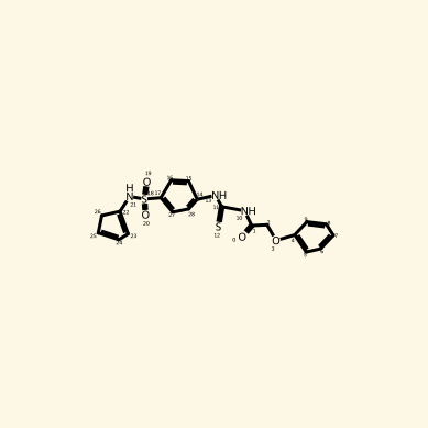 O=C(COc1ccccc1)NC(=S)Nc1ccc(S(=O)(=O)NC2=CC=CC2)cc1